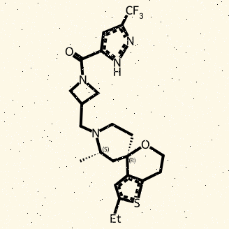 CCc1cc2c(s1)CCO[C@@]21CCN(CC2CN(C(=O)c3cc(C(F)(F)F)n[nH]3)C2)[C@@H](C)C1